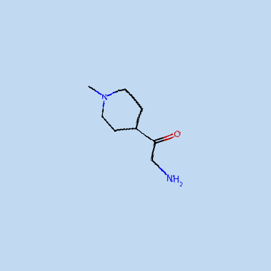 CN1CCC(C(=O)CN)CC1